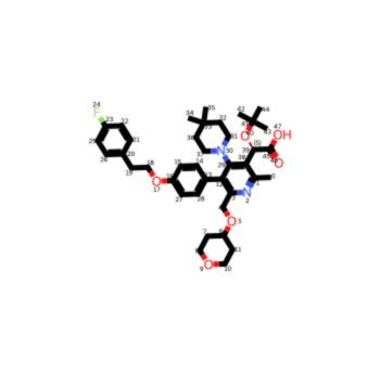 Cc1nc(COC2CCOCC2)c(-c2ccc(OCCc3ccc(F)cc3)cc2)c(N2CCC(C)(C)CC2)c1[C@H](OC(C)(C)C)C(=O)O